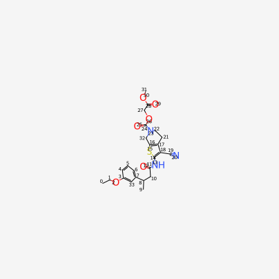 CCOc1cccc(C(C)CC(=O)Nc2sc3c(c2C#N)CCN(C(=O)OCC(=O)OC)C3)c1